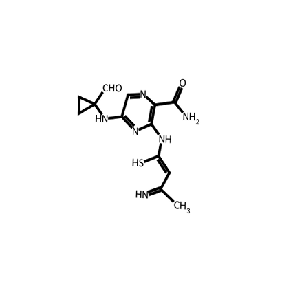 CC(=N)/C=C(\S)Nc1nc(NC2(C=O)CC2)cnc1C(N)=O